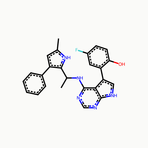 Cc1cc(-c2ccccc2)c(C(C)Nc2ncnc3[nH]cc(-c4cc(F)ccc4O)c23)[nH]1